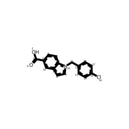 O=C(O)c1ccc2c(ccn2Cc2ccc(Cl)cc2)c1